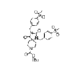 CC(C)(C)OC(=O)N1CCC2(CC1)C(=O)N(Cc1ccc(S(C)(=O)=O)cc1)C(=O)N2Cc1ccc(S(C)(=O)=O)cc1